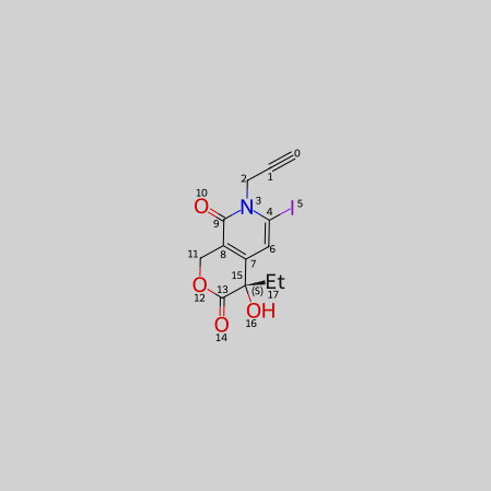 C#CCn1c(I)cc2c(c1=O)COC(=O)[C@]2(O)CC